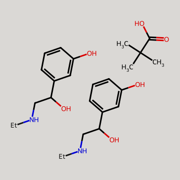 CC(C)(C)C(=O)O.CCNCC(O)c1cccc(O)c1.CCNCC(O)c1cccc(O)c1